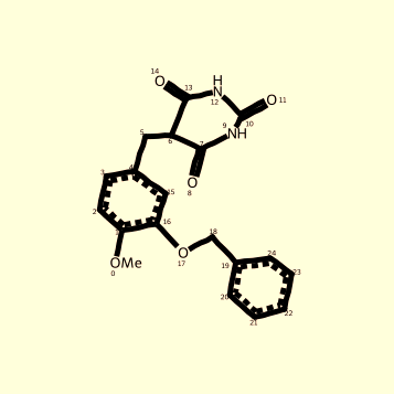 COc1ccc(CC2C(=O)NC(=O)NC2=O)cc1OCc1ccccc1